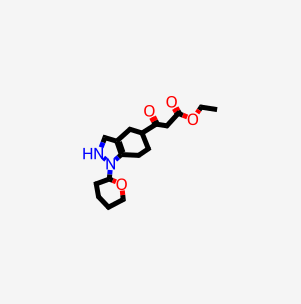 CCOC(=O)CC(=O)C1CCC2=C(CNN2C2CCCCO2)C1